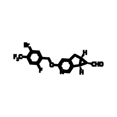 O=C[C@H]1[C@@H]2Cc3cc(OCc4cc(Br)c(C(F)(F)F)cc4F)ncc3[C@H]12